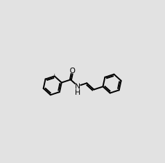 O=C(NC=Cc1ccccc1)c1[c]cccc1